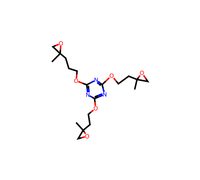 CC1(CCCOc2nc(OCCC3(C)CO3)nc(OCCC3(C)CO3)n2)CO1